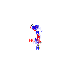 CCOC[C@H](NC(=O)[C@@H]1C[C@@H](O)CN1C(=O)[C@H](c1cc(OCCN2CCN(CCOc3cc(N4C5CCC4CN(c4cc(-c6ccccc6O)nnc4N)C5)ccn3)CC2)no1)C(C)C)c1ccc(-c2scnc2C)cc1